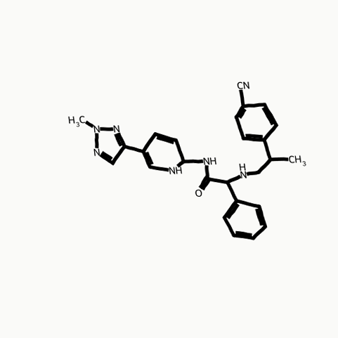 CC(CNC(C(=O)NC1C=CC(c2cnn(C)n2)=CN1)c1ccccc1)c1ccc(C#N)cc1